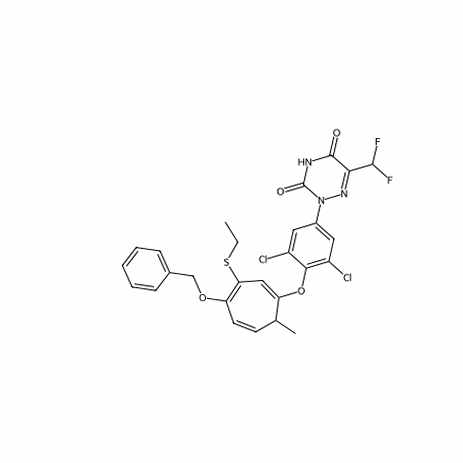 CCSC1=C(OCc2ccccc2)C=CC(C)C(Oc2c(Cl)cc(-n3nc(C(F)F)c(=O)[nH]c3=O)cc2Cl)=C1